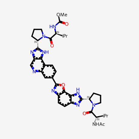 COC(=O)N[C@H](C(=O)N1CCC[C@H]1c1nc2cnc3cc(-c4nc5ccc6nc([C@@H]7CCCN7C(=O)[C@@H](NC(C)=O)C(C)C)[nH]c6c5o4)ccc3c2[nH]1)C(C)C